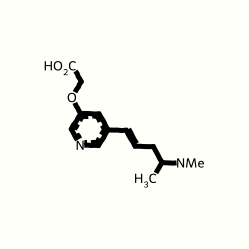 CNC(C)CC=Cc1cncc(OCC(=O)O)c1